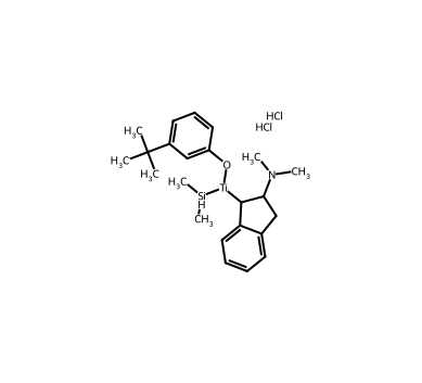 CN(C)C1Cc2ccccc2[CH]1[Ti]([O]c1cccc(C(C)(C)C)c1)[SiH](C)C.Cl.Cl